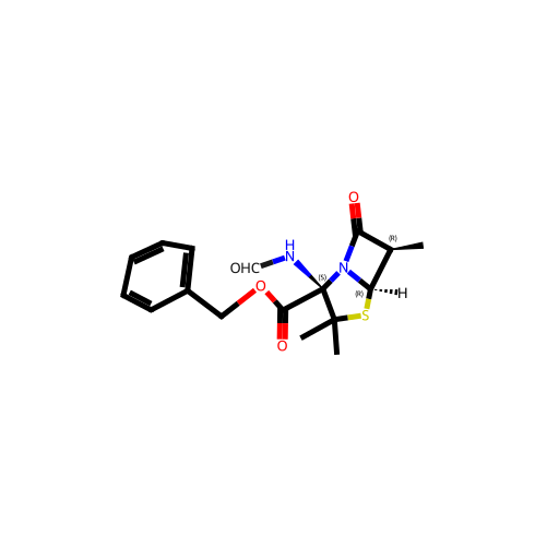 C[C@@H]1C(=O)N2[C@@H]1SC(C)(C)[C@]2(NC=O)C(=O)OCc1ccccc1